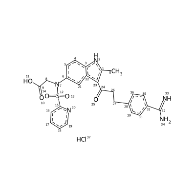 Cc1[nH]c2ccc(N(CC(=O)O)S(=O)(=O)c3ccccn3)cc2c1C(=O)CCc1ccc(C(=N)N)cc1.Cl